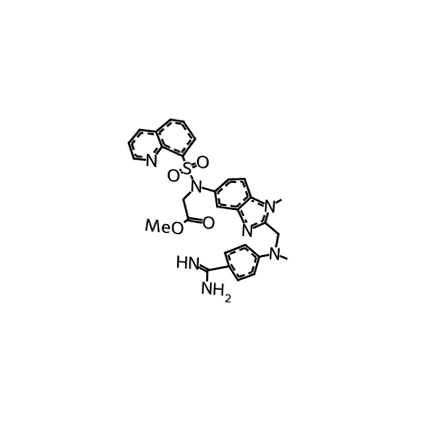 COC(=O)CN(c1ccc2c(c1)nc(CN(C)c1ccc(C(=N)N)cc1)n2C)S(=O)(=O)c1cccc2cccnc12